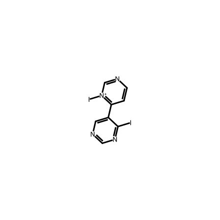 Ic1ncncc1-c1ccnc[n+]1I